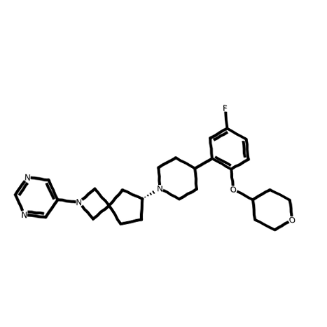 Fc1ccc(OC2CCOCC2)c(C2CCN([C@@H]3CCC4(C3)CN(c3cncnc3)C4)CC2)c1